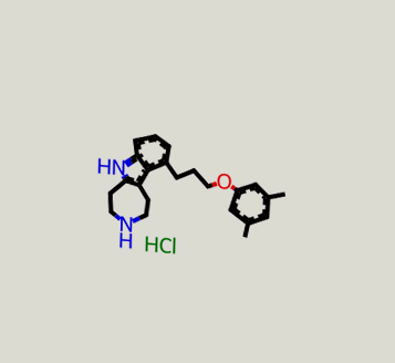 Cc1cc(C)cc(OCCCc2cccc3[nH]c4c(c23)CCNCC4)c1.Cl